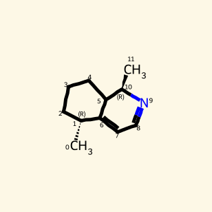 C[C@@H]1CCCC2C1=CC=N[C@@H]2C